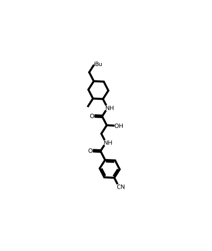 CCC(C)CC1CCC(NC(=O)C(O)CNC(=O)c2ccc(C#N)cc2)C(C)C1